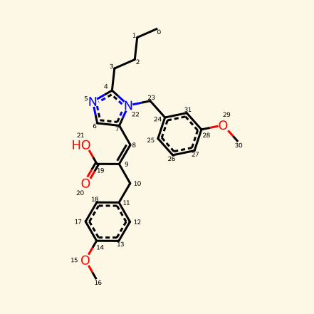 CCCCc1ncc(C=C(Cc2ccc(OC)cc2)C(=O)O)n1Cc1cccc(OC)c1